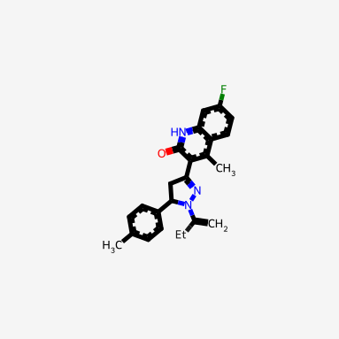 C=C(CC)N1N=C(c2c(C)c3ccc(F)cc3[nH]c2=O)CC1c1ccc(C)cc1